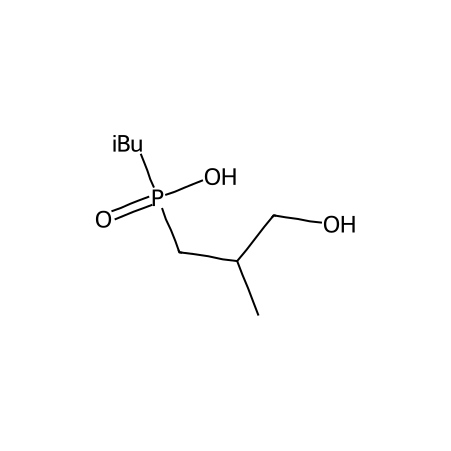 CCC(C)P(=O)(O)CC(C)CO